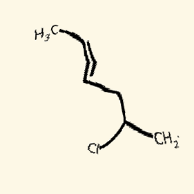 [CH2]C(Cl)CC=CC